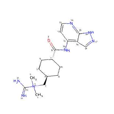 C[N+](C)(C[C@H]1CC[C@H](C(=O)Nc2ccnc3[nH]ncc23)CC1)C(=N)N